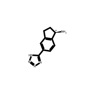 N[C@@H]1CCc2cc(-c3nnn[nH]3)ccc21